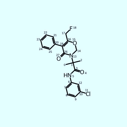 CC(C)(C(=O)Nc1cccc(Cl)c1)N1COC(CF)=C(c2ccccc2)C1=O